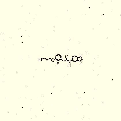 CC/C=C/COc1cccc(CC(=O)Nc2ccc3ncsc3c2)c1F